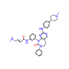 CN(C)C/C=C/C(=O)Nc1cccc(N2C(=O)N(c3ccccc3)CCc3cnc(Nc4ccc(C5CCN(C)CC5)cc4)nc32)c1